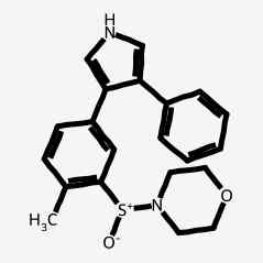 Cc1ccc(-c2c[nH]cc2-c2ccccc2)cc1[S+]([O-])N1CCOCC1